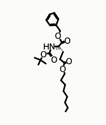 CCCCCCCCOC(=O)CC[C@H](NC(=O)OC(C)(C)C)C(=O)OCc1ccccc1